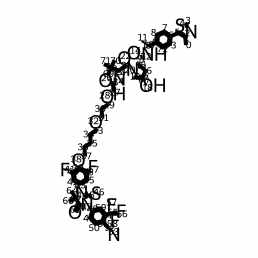 Cc1ncsc1-c1ccc([C@H](C)NC(=O)[C@@H]2C[C@@H](O)CN2C(=O)[C@@H](NC(=O)COCCCOCCCCCOc2c(F)cc(N3C(=S)N(c4ccc(C#N)c(C(F)(F)F)c4)C(=O)C3(C)C)cc2F)C(C)(C)C)cc1